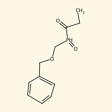 CCC(=O)[PH](=O)COCc1ccccc1